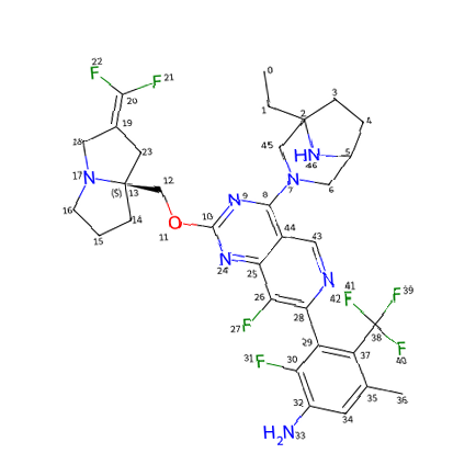 CCC12CCC(CN(c3nc(OC[C@@]45CCCN4CC(=C(F)F)C5)nc4c(F)c(-c5c(F)c(N)cc(C)c5C(F)(F)F)ncc34)C1)N2